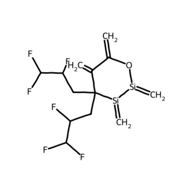 C=C1O[Si](=C)[Si](=C)C(CC(F)C(F)F)(CC(F)C(F)F)C1=C